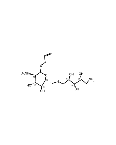 C=CCSC1O[C@H](CSC[C@@H](O)[C@H](O)[C@H](O)CN)[C@@H](O)[C@H](O)[C@H]1NC(C)=O